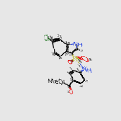 COC(=O)c1ccc(NS(=O)(=O)c2c[nH]c3cc(Cl)ccc23)cc1